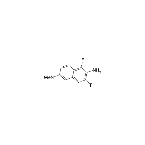 CNc1ccc2c(F)c(N)c(F)cc2c1